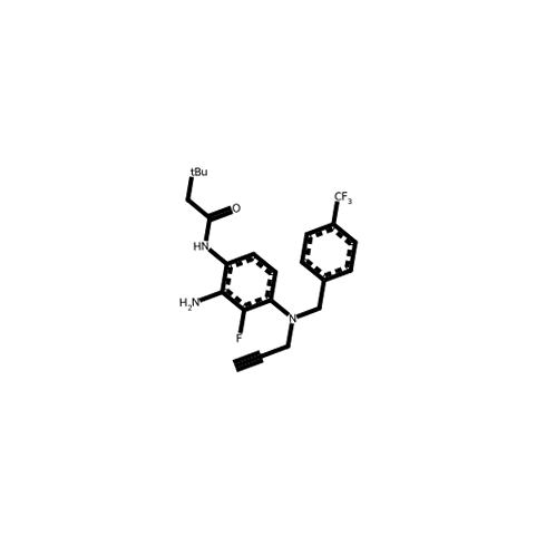 C#CCN(Cc1ccc(C(F)(F)F)cc1)c1ccc(NC(=O)CC(C)(C)C)c(N)c1F